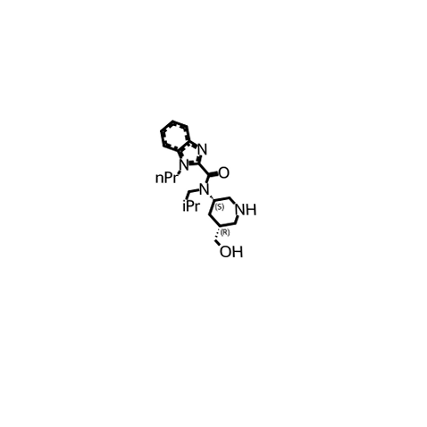 CCCn1c(C(=O)N(CC(C)C)[C@@H]2CNC[C@H](CO)C2)nc2ccccc21